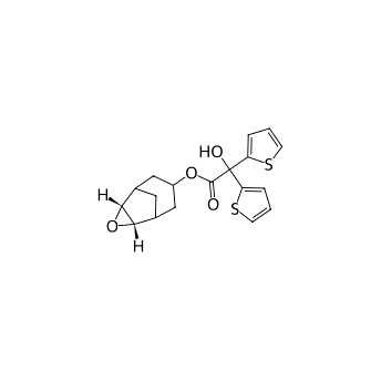 O=C(OC1CC2CC(C1)[C@@H]1O[C@H]21)C(O)(c1cccs1)c1cccs1